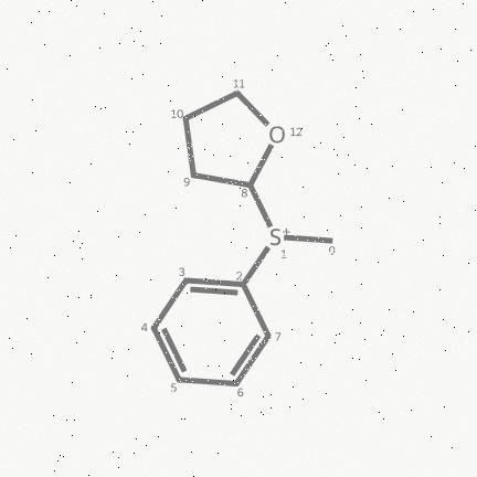 C[S+](c1ccccc1)C1CCCO1